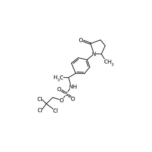 CC(NS(=O)(=O)OCC(Cl)(Cl)Cl)c1ccc(N2C(=O)CCC2C)cc1